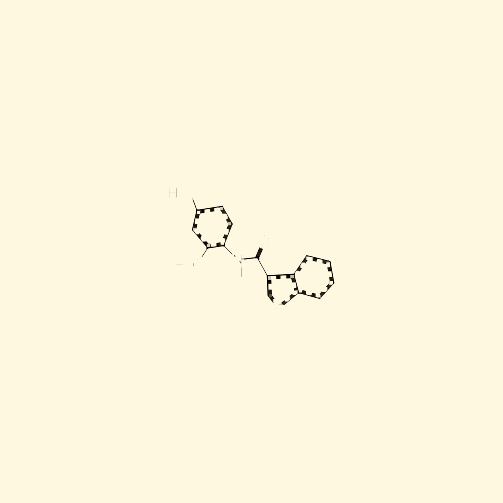 Cc1ccc(NC(=O)c2csc3ccccc23)c(C)c1